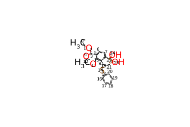 CCOC(=O)c1ccc2c(c1OC)C(Sc1ccccc1)CS2(O)O